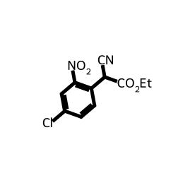 CCOC(=O)C(C#N)c1ccc(Cl)cc1[N+](=O)[O-]